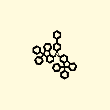 c1ccc(-c2ccc(N(c3ccc4c(c3)C(c3ccccc3)(c3ccccc3)c3ccccc3-4)c3cccc4c3-c3ccccc3C4(c3ccccc3)c3ccccc3)cc2)cc1